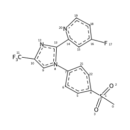 CS(=O)(=O)c1ccc(-n2cc(C(F)(F)F)nc2-c2cc(F)ccn2)cc1